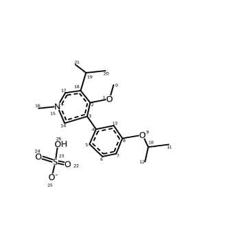 COc1c(-c2cccc(OC(C)C)c2)c[n+](C)cc1C(C)C.O=S(=O)([O-])O